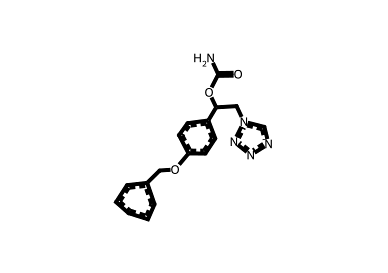 NC(=O)OC(Cn1cnnn1)c1ccc(OCc2ccccc2)cc1